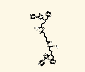 NC(CCN(Cc1nccs1)c1nc(-n2ccnc2)ns1)OC(=O)CCCCC(=O)OC(N)CCN(Cc1nccs1)c1nc(-n2ccnc2)ns1